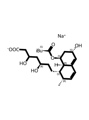 CC[C@H](C)C(=O)O[C@H]1C[C@H](O)C=C2C=C[C@H](C)[C@H](CC[C@@H](O)CC(O)CC(=O)[O-])[C@H]21.[Na+]